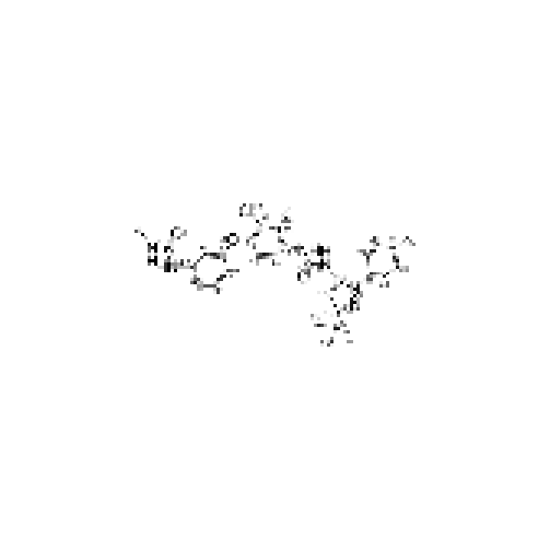 CNC(=O)Nc1cc(Oc2ccc(NC(=O)Nc3cc(C(C)(C)C)nn3-c3ccc(C)cc3)c(Cl)c2Cl)ccn1